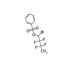 CC(F)(F)C(F)(F)C(Br)OS(=O)(=O)c1ccccc1